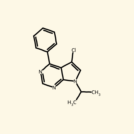 CC(C)n1cc(Cl)c2c(-c3ccccc3)ncnc21